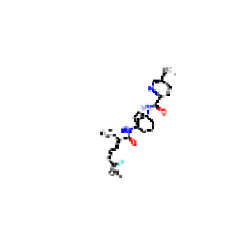 C=C(F)/C=C\C=C(/C)C(=O)NC12CCCC(NC(=O)c3ccc(C)cn3)(CC1)C2